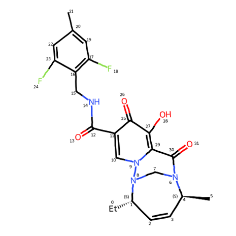 CC[C@H]1C=C[C@H](C)N2CN1n1cc(C(=O)NCc3c(F)cc(C)cc3F)c(=O)c(O)c1C2=O